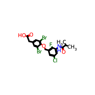 CC(C)C(=O)Nc1cc(Cl)cc(COc2c(Br)cc(CC(=O)O)cc2Br)c1F